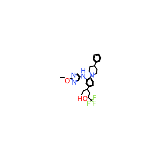 CCOc1ncc(Nc2cc(C(CC)CC(O)C(F)(F)F)ccc2N2CCC(c3ccccc3)CC2)cn1